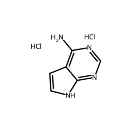 Cl.Cl.Nc1ncnc2[nH]ccc12